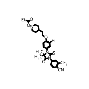 CCC(=O)ON1CCC(CCOc2ccc(N3C(=S)N(c4ccc(C#N)c(C(F)(F)F)c4)C(=O)C3(C)C)cc2CC)CC1